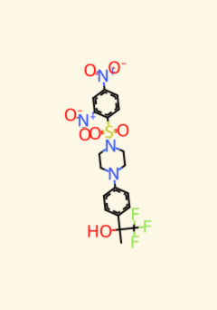 CC(O)(c1ccc(N2CCN(S(=O)(=O)c3ccc([N+](=O)[O-])cc3[N+](=O)[O-])CC2)cc1)C(F)(F)F